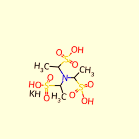 CC(N(C(C)S(=O)(=O)O)C(C)S(=O)(=O)O)S(=O)(=O)O.[KH]